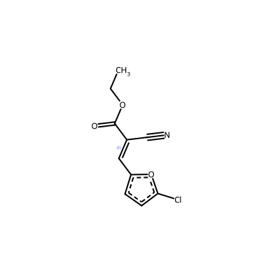 CCOC(=O)/C(C#N)=C/c1ccc(Cl)o1